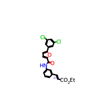 CCOC(=O)/C=C/c1cccc(NC(=O)c2ccc(-c3cc(Cl)cc(Cl)c3)o2)c1